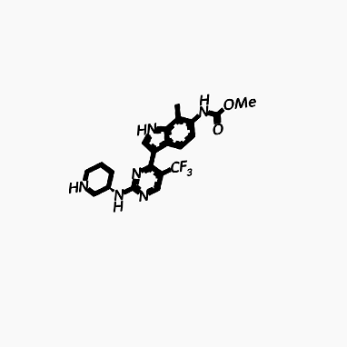 COC(=O)Nc1ccc2c(-c3nc(N[C@H]4CCCNC4)ncc3C(F)(F)F)c[nH]c2c1C